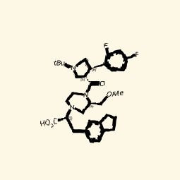 COC[C@H]1CN([C@@H](Cc2ccc3c(c2)CCC3)C(=O)O)CCN1C(=O)[C@@H]1CN(C(C)(C)C)C[C@H]1c1ccc(F)cc1F